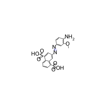 COc1cc(/N=N/c2cc(S(=O)(=O)O)c3cccc(S(=O)(=O)O)c3c2)ccc1N